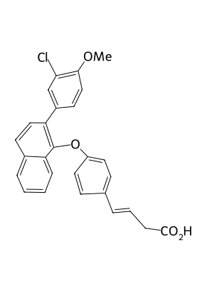 COc1ccc(-c2ccc3ccccc3c2Oc2ccc(/C=C/CC(=O)O)cc2)cc1Cl